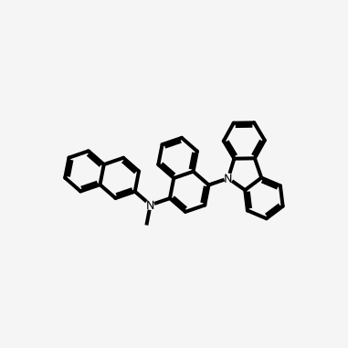 CN(c1ccc2ccccc2c1)c1ccc(-n2c3ccccc3c3ccccc32)c2ccccc12